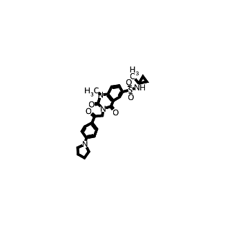 Cn1c(=O)n(CC(=O)c2ccc(N3CCCC3)cc2)c(=O)c2cc(S(=O)(=O)NC3(C)CC3)ccc21